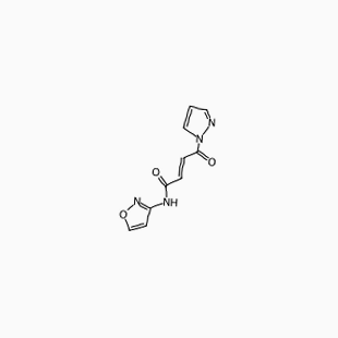 O=C(C=CC(=O)n1cccn1)Nc1ccon1